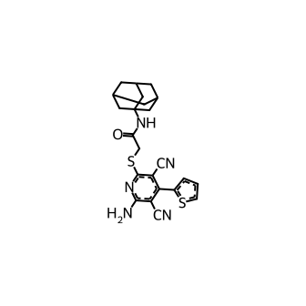 N#Cc1c(N)nc(SCC(=O)NC23CC4CC(CC(C4)C2)C3)c(C#N)c1-c1cccs1